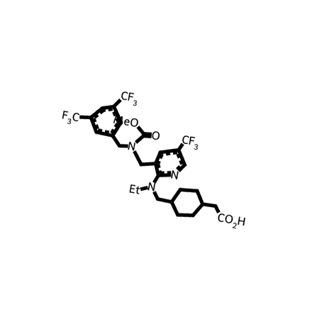 CCN(CC1CCC(CC(=O)O)CC1)c1ncc(C(F)(F)F)cc1CN(Cc1cc(C(F)(F)F)cc(C(F)(F)F)c1)C(=O)OC